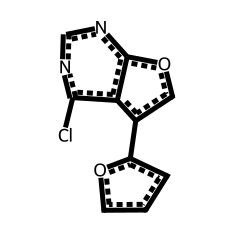 Clc1ncnc2occ(-c3ccco3)c12